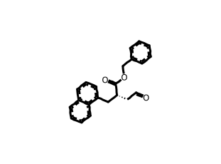 O=CC[C@H](Cc1cccc2ccccc12)C(=O)OCc1ccccc1